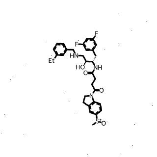 CCc1cccc(CNC[C@H](O)[C@H](Cc2cc(F)cc(F)c2)NC(=O)CCC(=O)N2CCc3cc([S+](C)[O-])ccc32)c1